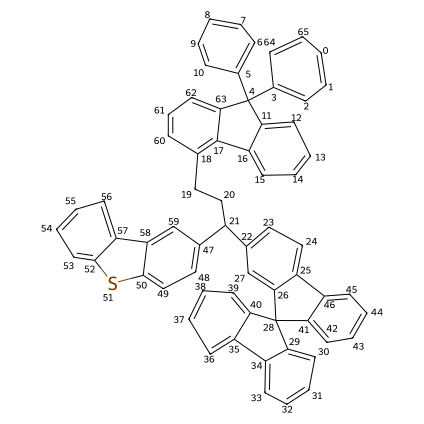 c1ccc(C2(c3ccccc3)c3ccccc3-c3c(CCC(c4ccc5c(c4)C4(c6ccccc6-c6ccccc64)c4ccccc4-5)c4ccc5sc6ccccc6c5c4)cccc32)cc1